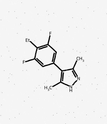 [CH2]Cc1c(F)cc(-c2c(C)n[nH]c2C)cc1F